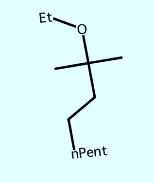 CCCCCCCC(C)(C)OCC